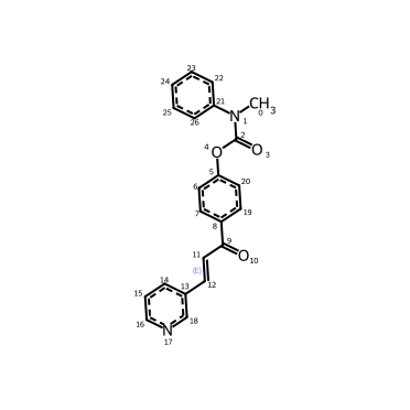 CN(C(=O)Oc1ccc(C(=O)/C=C/c2cccnc2)cc1)c1ccccc1